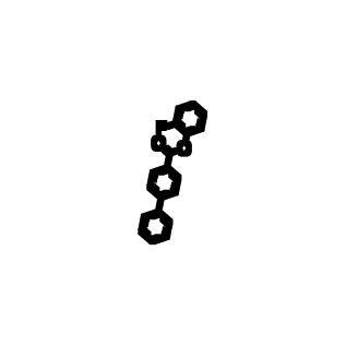 O=C(Oc1ccccc1F)c1ccc(-c2ccccc2)cc1